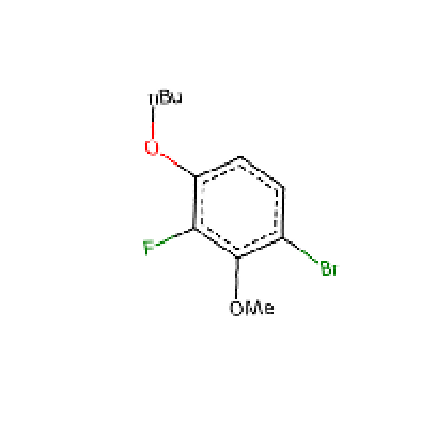 CCCCOc1ccc(Br)c(OC)c1F